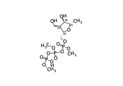 COP(=O)(O)OP(=O)(OC)OP(=O)(OC)OC[C@H]1O[C@@H](C)[C@H](O)[C@@H]1CO